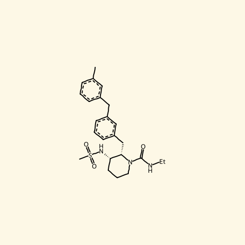 CCNC(=O)N1CCC[C@H](NS(C)(=O)=O)[C@@H]1Cc1cccc(Cc2cccc(C)c2)c1